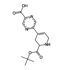 CC(C)(C)OC(=O)C1CC(c2cnc(C(=O)O)cn2)=CCN1